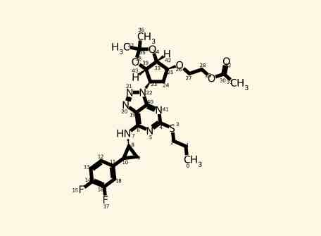 CCCSc1nc(N[C@@H]2CC2c2ccc(F)c(F)c2)c2nnn([C@@H]3C[C@H](OCCOC(C)=O)[C@H]4OC(C)(C)O[C@H]43)c2n1